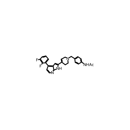 CC(=O)Nc1ccc(CN2CC=C(c3cc4c(-c5cccc(F)c5F)ccnc4[nH]3)CC2)cc1